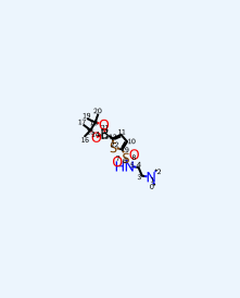 CN(C)CCNS(=O)(=O)c1ccc(B2OC(C)(C)C(C)(C)O2)s1